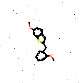 COc1ccc2cc(Cc3ccccc3OC)sc2c1